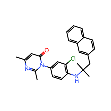 Cc1cc(=O)n(-c2ccc(NC(C)(C)Cc3ccc4ccccc4c3)c(Cl)c2)c(C)n1